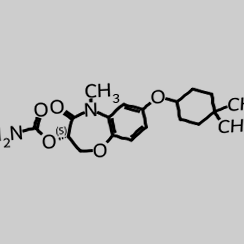 CN1C(=O)[C@@H](OC(N)=O)COc2ccc(OC3CCC(C)(C)CC3)cc21